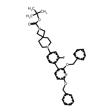 CC(C)(C)OC(=O)N1CC2(CCN(c3ccc(-c4ccc(OCc5ccccc5)nc4OCc4ccccc4)c(F)c3)CC2)C1